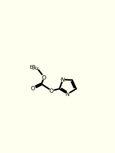 CC(C)(C)OC(=O)OC1=NC=C[N]1